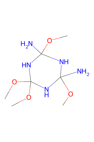 COC1(N)NC(N)(OC)NC(OC)(OC)N1